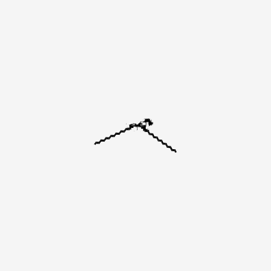 CCCCCCCCCCCCCCCC(=O)OC[C@@H](CSC[C@H](C)C(C)=O)OC(=O)CCCCCCCCCCCCCCC